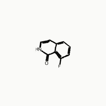 O=c1[nH]ccc2cccc(F)c12